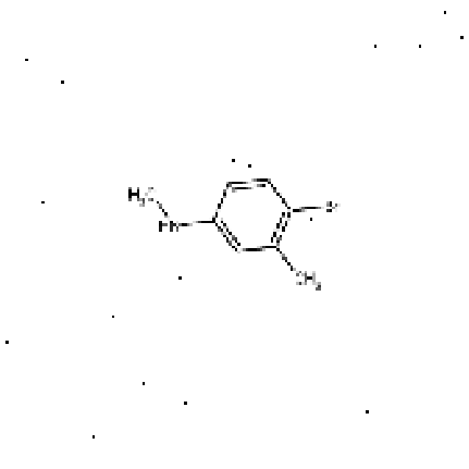 CNc1ccc(Br)c(C)c1